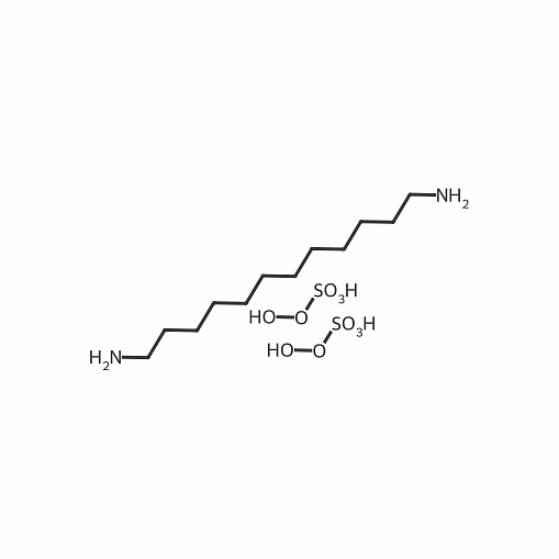 NCCCCCCCCCCCCN.O=S(=O)(O)OO.O=S(=O)(O)OO